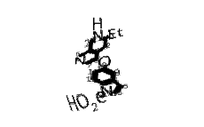 CCC1Cc2c(cncc2Oc2ccc3c(ccn3C(=O)O)c2)CN1